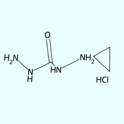 C1CC1.Cl.NNC(=O)NN